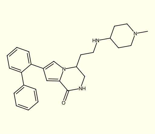 CN1CCC(NCCC2CNC(=O)c3cc(-c4ccccc4-c4ccccc4)cn32)CC1